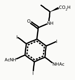 CC(=O)Nc1c(I)c(NC(C)=O)c(I)c(C(=O)N[C@@H](C)C(=O)O)c1I